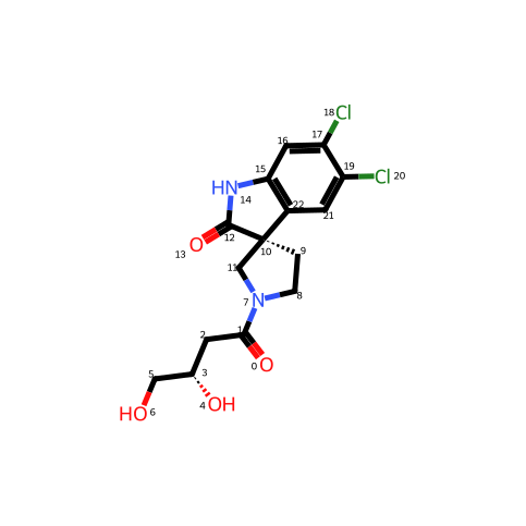 O=C(C[C@H](O)CO)N1CC[C@]2(C1)C(=O)Nc1cc(Cl)c(Cl)cc12